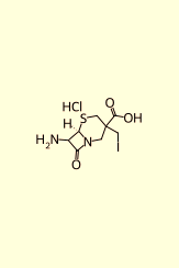 Cl.NC1C(=O)N2CC(CI)(C(=O)O)CS[C@H]12